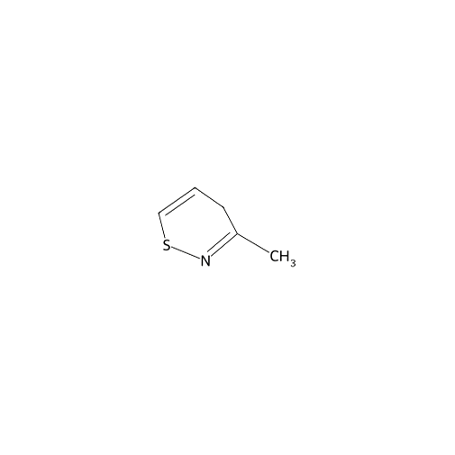 CC1=NSC=CC1